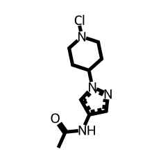 CC(=O)Nc1cnn(C2CCN(Cl)CC2)c1